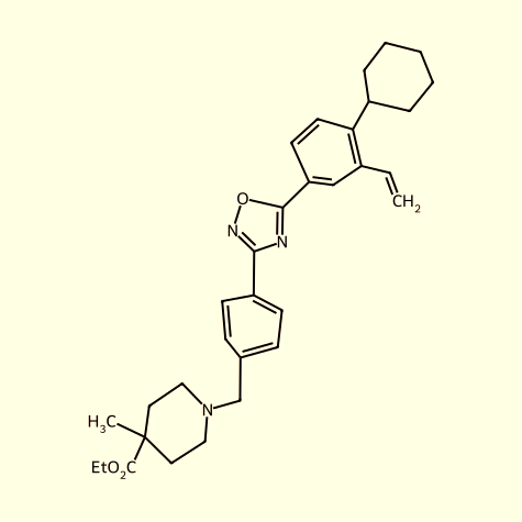 C=Cc1cc(-c2nc(-c3ccc(CN4CCC(C)(C(=O)OCC)CC4)cc3)no2)ccc1C1CCCCC1